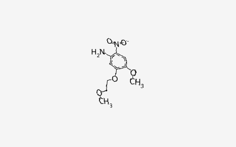 COCCOc1cc(N)c([N+](=O)[O-])cc1OC